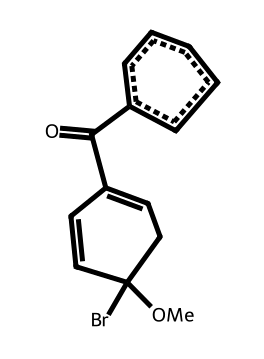 COC1(Br)C=CC(C(=O)c2ccccc2)=CC1